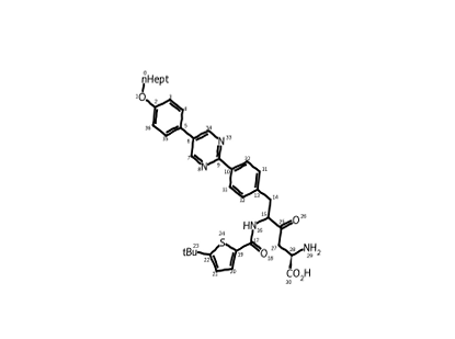 CCCCCCCOc1ccc(-c2cnc(-c3ccc(CC(NC(=O)c4ccc(C(C)(C)C)s4)C(=O)C[C@@H](N)C(=O)O)cc3)nc2)cc1